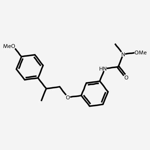 COc1ccc(C(C)COc2cccc(NC(=O)N(C)OC)c2)cc1